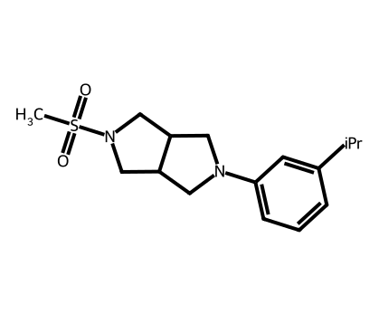 CC(C)c1cccc(N2CC3CN(S(C)(=O)=O)CC3C2)c1